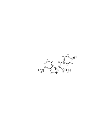 Nc1cccc2c1cnn2C(Cc1ccc(Cl)cc1)C(=O)O